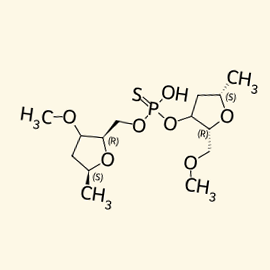 COC[C@H]1O[C@@H](C)CC1OP(O)(=S)OC[C@H]1O[C@@H](C)CC1OC